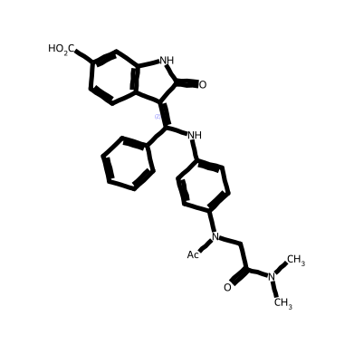 CC(=O)N(CC(=O)N(C)C)c1ccc(N/C(=C2\C(=O)Nc3cc(C(=O)O)ccc32)c2ccccc2)cc1